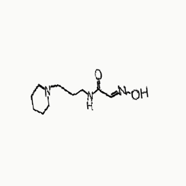 O=C(C=NO)NCCCN1CCCCC1